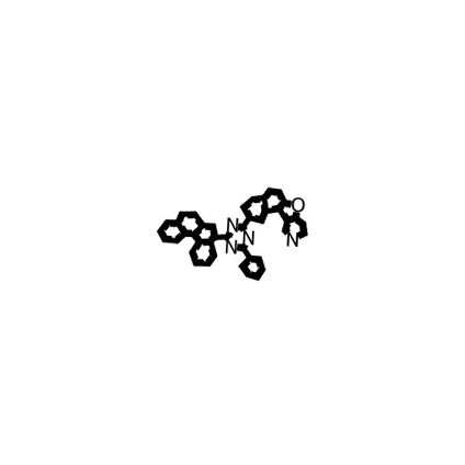 c1ccc(-c2nc(-c3ccc4ccc5oc6ccncc6c5c4c3)nc(-c3cc4ccc5ccccc5c4c4ccccc34)n2)cc1